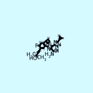 CC(C)(O)C#Cc1cc2c(cc1F)C1=CC(C1)n1c-2nc(C(N)=O)c1-c1nc(C2CC2)n[nH]1